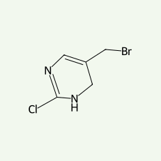 ClC1=NC=C(CBr)CN1